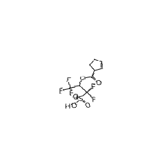 O=C(OC(C(F)(F)F)C(F)(F)S(=O)(=O)O)C1C=CCC1